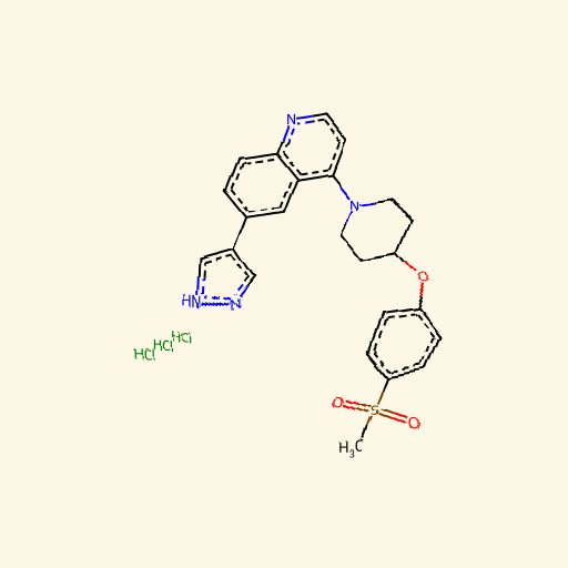 CS(=O)(=O)c1ccc(OC2CCN(c3ccnc4ccc(-c5cn[nH]c5)cc34)CC2)cc1.Cl.Cl.Cl